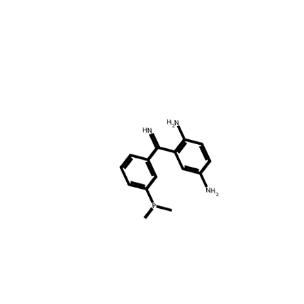 CP(C)c1cccc(C(=N)c2cc(N)ccc2N)c1